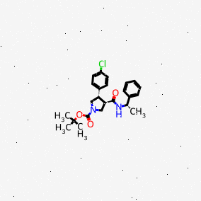 C[C@H](NC(=O)[C@H]1CN(C(=O)OC(C)(C)C)C[C@@H]1c1ccc(Cl)cc1)c1ccccc1